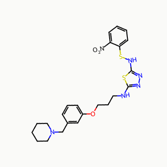 O=[N+]([O-])c1ccccc1SNc1nnc(NCCCOc2cccc(CN3CCCCC3)c2)s1